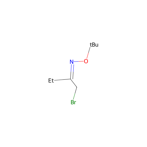 CC/C(CBr)=N/OC(C)(C)C